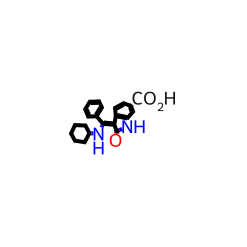 O=C1Nc2cc(C(=O)O)ccc2C1=C(NC1CCCCC1)c1ccccc1